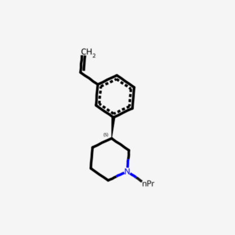 C=Cc1cccc([C@@H]2CCCN(CCC)C2)c1